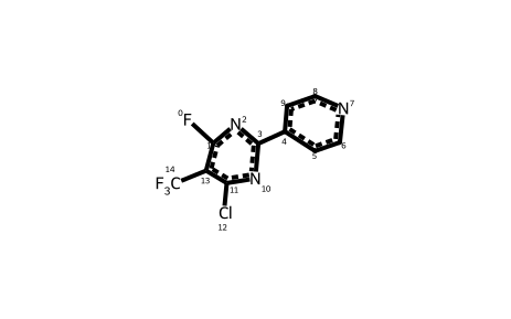 Fc1nc(-c2ccncc2)nc(Cl)c1C(F)(F)F